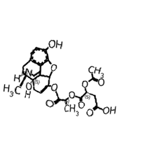 CC(=O)O[C@@H](CC(=O)O)C(=O)O[C@@H](C)C(=O)OC1=CC[C@@]2(O)[C@H]3Cc4ccc(O)c5c4C2(CCN3C)C1O5